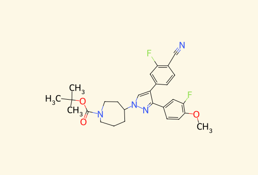 COc1ccc(-c2nn(C3CCCN(C(=O)OC(C)(C)C)CC3)cc2-c2ccc(C#N)c(F)c2)cc1F